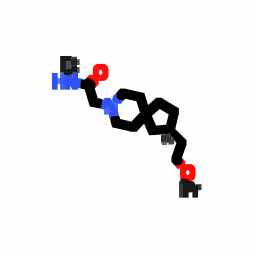 CCNC(=O)CN1CCC2(CC[C@@H](CCOC(C)C)C2)CC1